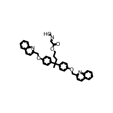 CC(CCCOC(=O)C=NO)(c1ccc(OCc2ccc3ccccc3n2)cc1)c1ccc(OCc2ccc3ccccc3n2)cc1